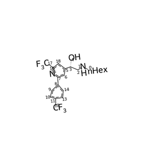 CCCCCCNC[C@@H](O)c1cc(-c2ccc(C(F)(F)F)cc2)nc(C(F)(F)F)c1